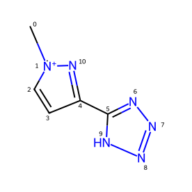 C[N+]1C=CC(c2nnn[nH]2)=N1